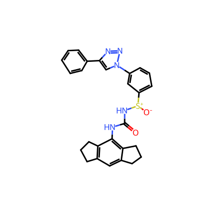 O=C(Nc1c2c(cc3c1CCC3)CCC2)N[S+]([O-])c1cccc(-n2cc(-c3ccccc3)nn2)c1